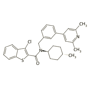 Cc1cc(-c2cccc(CN(C(=O)c3sc4ccccc4c3Cl)[C@H]3CC[C@H](C)CC3)c2)cc(C)n1